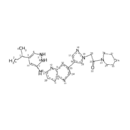 CC(C)C1=CNNC(Nc2ccc3ncc(-c4cnn(CC(=O)N5CCOCC5)c4)cc3n2)=C1